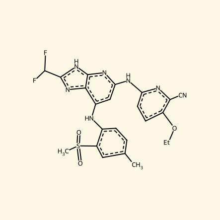 CCOc1ccc(Nc2cc(Nc3ccc(C)cc3S(C)(=O)=O)c3nc(C(F)F)[nH]c3n2)nc1C#N